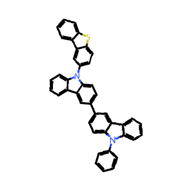 c1ccc(-n2c3ccccc3c3cc(-c4ccc5c(c4)c4ccccc4n5-c4ccc5sc6ccccc6c5c4)ccc32)cc1